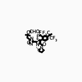 C[C@H]1CCCN1C(=O)c1nc(-c2noc(CC(C)(C)OC=O)n2)sc1-c1ccc(C(C)(C(F)(F)F)C(F)(F)F)cc1C(F)F